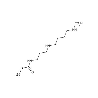 CC(C)(C)OC(=O)NCCCNCCCCNC(=O)O